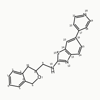 c1ccc2c(c1)COC(CNc1nc3ccc(-c4ccncc4)cc3s1)C2